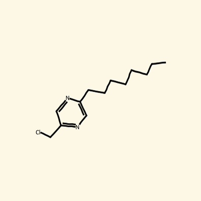 CCCCCCCCc1cnc(CCl)cn1